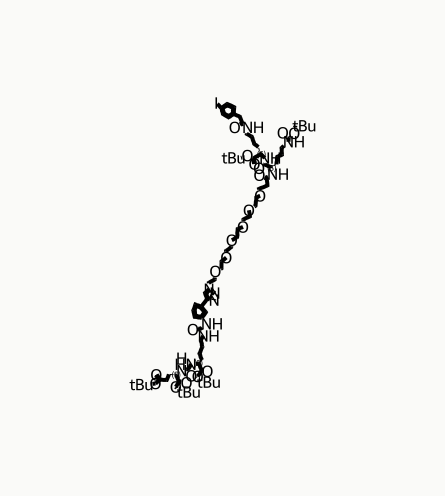 CC(C)(C)OC(=O)CC[C@H](NC(=O)N[C@@H](CCCCNC(=O)Nc1cccc(-c2cn(CCOCCOCCOCCOCCOCCOCCC(=O)N[C@@H](CCCCNC(=O)OC(C)(C)C)C(=O)N[C@@H](CCCCNC(=O)Cc3ccc(I)cc3)C(=O)OC(C)(C)C)nn2)c1)C(=O)OC(C)(C)C)C(=O)OC(C)(C)C